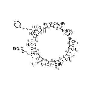 CCOC(=O)OCCCCC[C@@H](C)[C@@H](O)[C@@H]1NC(=O)[C@H](C(C)C)N(C)C(=O)[C@H](CC(C)C)N(C)C(=O)[C@H](CC(C)C)N(C)C(=O)[C@@H](C)NC(=O)[C@H](C)NC(=O)[C@H](CC(C)C)N(C)C(=O)[C@H](C(C)C)NC(=O)[C@H]([C@@H](C)OCCCCN2CCOCC2)N(C)C(=O)[C@@H](C)N(C)C(=O)[C@H](CC)NC1=O